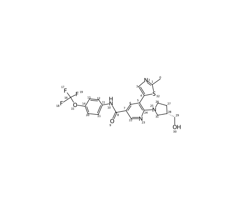 Cc1ncc(-c2cc(C(=O)Nc3ccc(OC(F)(F)F)cc3)cnc2N2CC[C@H](CO)C2)s1